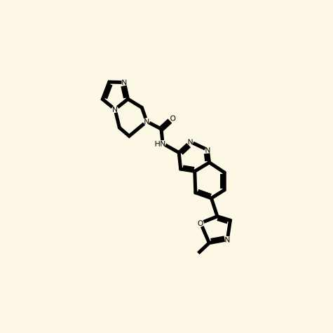 Cc1ncc(-c2ccc3nnc(NC(=O)N4CCn5ccnc5C4)cc3c2)o1